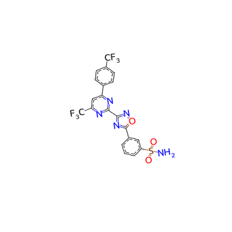 NS(=O)(=O)c1cccc(-c2nc(-c3nc(-c4ccc(C(F)(F)F)cc4)cc(C(F)(F)F)n3)no2)c1